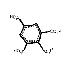 O=C(O)c1cc(S(=O)(=O)O)cc(C(=O)O)c1S(=O)(=O)O